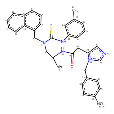 CCCC(CN(Cc1cccc2ccccc12)C(=S)Nc1cccc(C(F)(F)F)c1)NC(=O)Cc1cncn1Cc1ccc([N+](=O)[O-])cc1